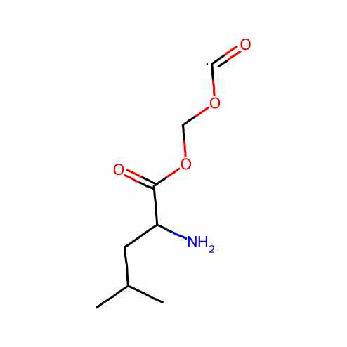 CC(C)CC(N)C(=O)OCO[C]=O